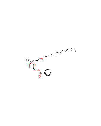 CCCCCCCCCCOCCCC1(C)OCC(COC(=O)c2ccccc2)O1